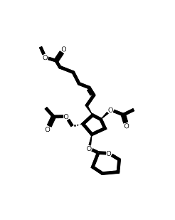 COC(=O)CCC/C=C\C[C@@H]1[C@@H](COC(C)=O)[C@H](OC2CCCCO2)C[C@@H]1OC(C)=O